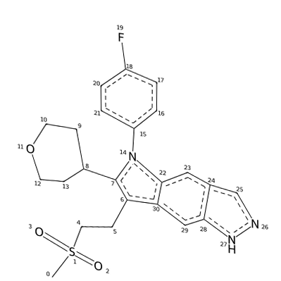 CS(=O)(=O)CCc1c(C2CCOCC2)n(-c2ccc(F)cc2)c2cc3cn[nH]c3cc12